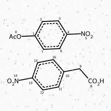 CC(=O)Oc1ccc([N+](=O)[O-])cc1.O=C(O)Cc1ccc([N+](=O)[O-])cc1